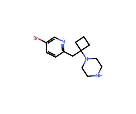 Brc1ccc(CC2(N3CCNCC3)CCC2)nc1